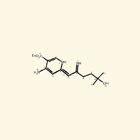 CCOC(=O)C1=CN/C(=C\C(=N)CCC(C)(C)O)C=C1N